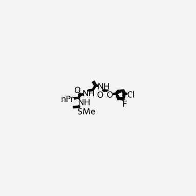 C=C(CCNC(=O)C(CCC)NC(C)SC)NC(=O)COc1ccc(Cl)c(F)c1